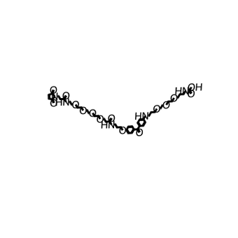 O=C(O)NCCCOCCOCCOCCCNc1ccc(C(=O)c2ccc(OCCCNC(=O)CCOCCOCCOCCOCCNC(=O)CCN3C(=O)C=CC3=O)cc2)cc1